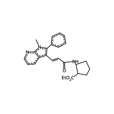 CCOC(=O)C1CCCC1NC(=O)C=Cc1c(-c2ccccc2)n(C)c2ncccc12